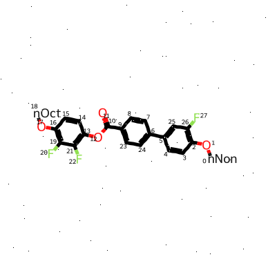 CCCCCCCCCOc1ccc(-c2ccc(C(=O)Oc3ccc(OCCCCCCCC)c(F)c3F)cc2)cc1F